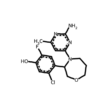 Cc1cc(N2CCCOCC2c2cc(F)c(O)cc2Cl)nc(N)n1